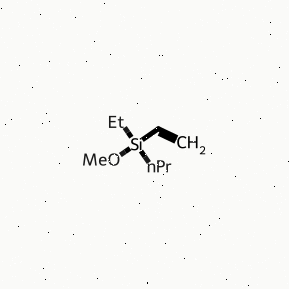 C=C[Si](CC)(CCC)OC